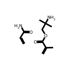 C=C(C)C(=O)OCC(C)(C)N.C=CC(N)=O